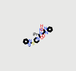 CC(C)[C@H](NC(=O)c1nc2ccccc2nc1O)C(=O)N1CCC(Sc2nc3ccccc3n2C)CC1